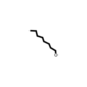 [CH2]CCCCCCC[O]